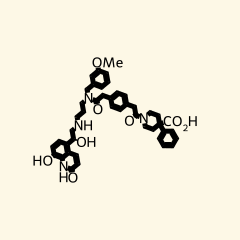 COc1cccc(CN(CCCNC[C@H](O)c2ccc(O)c3[nH]c(=O)ccc23)C(=O)Cc2ccc(CC(=O)N3CCC(C(=O)O)(c4ccccc4)CC3)cc2)c1